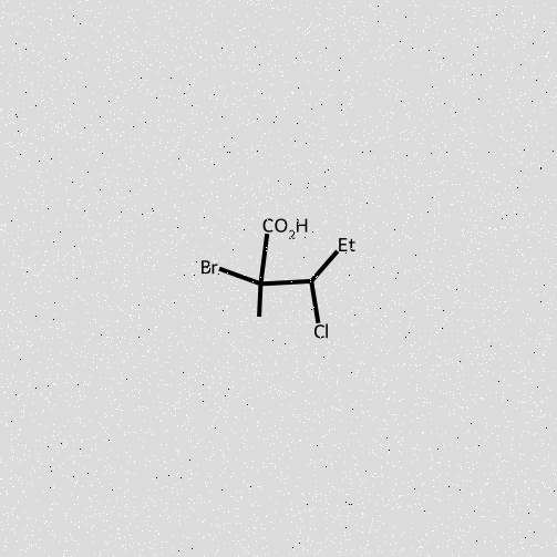 CCC(Cl)C(C)(Br)C(=O)O